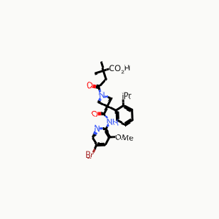 COc1cc(Br)cnc1NC(=O)C1(c2ccccc2C(C)C)CN(C(=O)CC(C)(C)C(=O)O)C1